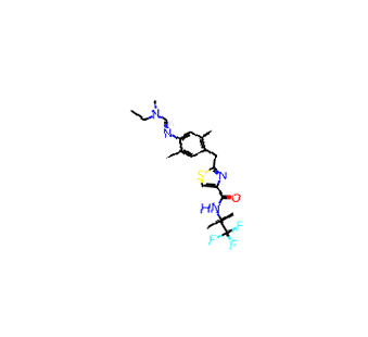 CCN(C)/C=N/c1cc(C)c(Cc2nc(C(=O)NC(C)(C)C(F)(F)F)cs2)cc1C